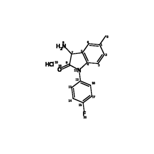 Cc1ccc2c(c1)C(N)C(=O)N2c1ccc(F)cc1.Cl